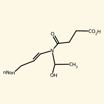 CCCCCCCCCCC=CN(C(=O)CCC(=O)O)C(C)O